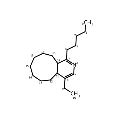 CCCCCC1=NC=C(CC)C2CCCCCCCC12